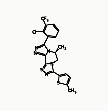 Cc1ccc(-c2nnc3n2C[C@H](C)n2c(-c4cccc(C(F)(F)F)c4Cl)nnc2-3)s1